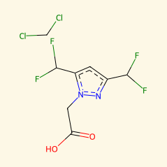 ClCCl.O=C(O)Cn1nc(C(F)F)cc1C(F)F